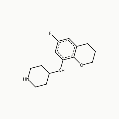 Fc1cc2c(c(NC3CCNCC3)c1)OCCC2